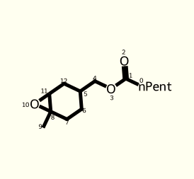 CCCCCC(=O)OCC1CCC2(C)OC2C1